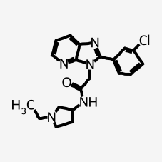 CCN1CCC(NC(=O)Cn2c(-c3cccc(Cl)c3)nc3cccnc32)C1